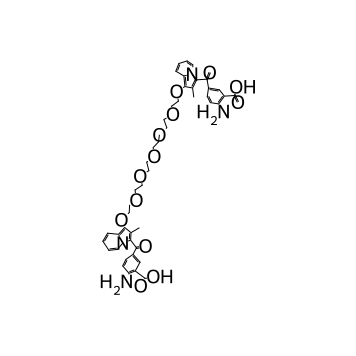 Cc1c(OCCOCCOCCOCCOCCOCCOc2c(C)c(C(=O)c3ccc(N)c(C(=O)O)c3)n3ccccc23)c2ccccn2c1C(=O)c1ccc(N)c(C(=O)O)c1